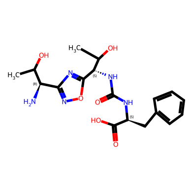 CC(O)[C@H](N)c1noc([C@@H](NC(=O)N[C@@H](Cc2ccccc2)C(=O)O)C(C)O)n1